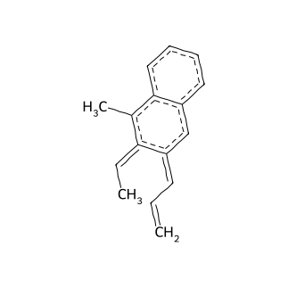 C=C/C=c1/cc2ccccc2c(C)/c1=C/C